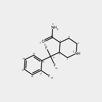 NC(=O)C1CCNCC1C(F)(F)c1ccccc1F